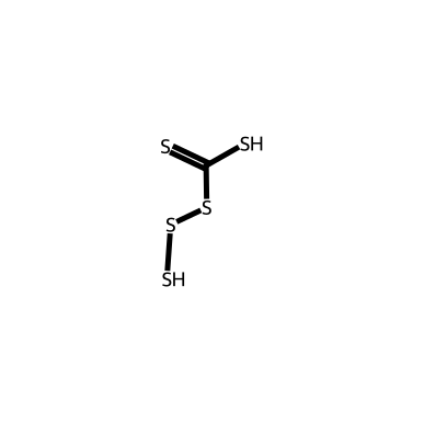 S=C(S)SSS